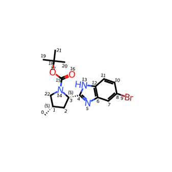 C[C@H]1C[C@@H](c2nc3cc(Br)ccc3[nH]2)N(C(=O)OC(C)(C)C)C1